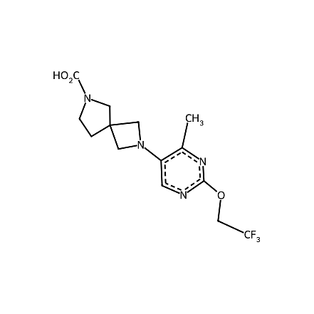 Cc1nc(OCC(F)(F)F)ncc1N1CC2(CCN(C(=O)O)C2)C1